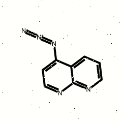 [N-]=[N+]=Nc1ccnc2ncccc12